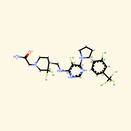 NC(=O)CN1CC[C@@H](CNc2ncnc(N3CCC[C@@H]3c3ccc(C(F)(F)F)cc3F)c2F)C(F)(F)C1